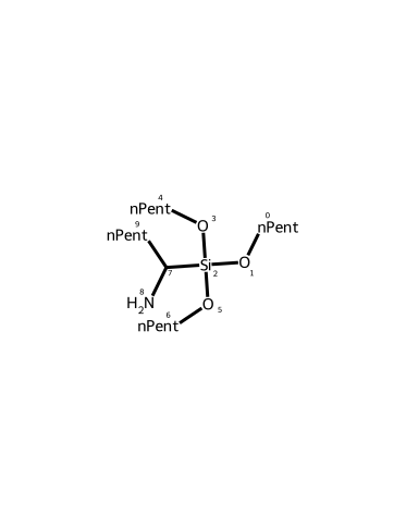 CCCCCO[Si](OCCCCC)(OCCCCC)C(N)CCCCC